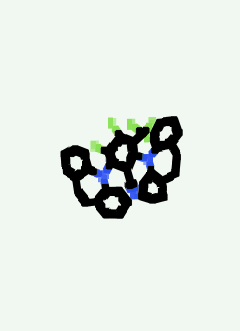 N#Cc1c(N2c3ccccc3C=Cc3ccccc32)c(F)c(F)c(C(F)(F)F)c1N1c2ccccc2C=Cc2ccccc21